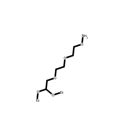 CCOC(COCCOCCON)OCC